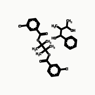 CC(C)(OC(=O)c1cccc(Cl)c1)C(C)(C)OC(=O)c1cccc(Cl)c1.CC(O)C(C)C(O)c1ccccc1